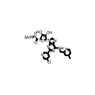 CNNC(=O)[C@H]1O[C@@H](n2cnc3c(NCc4cc(C)ccn4)nc(-c4cncc(Cl)c4)nc32)[C@H](O)[C@@H]1O